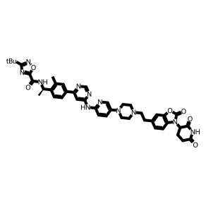 Cc1cc(-c2cc(Nc3ccc(N4CCN(CCc5ccc6c(c5)oc(=O)n6C5CCC(=O)NC5=O)CC4)cn3)ncn2)ccc1[C@@H](C)NC(=O)c1nc(C(C)(C)C)no1